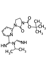 CC(C)N(C=N)C(=N)c1cccc(N2CCN(C(=O)OC(C)(C)C)C2=O)n1